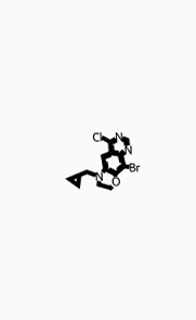 Clc1ncnc2c(Br)c3c(cc12)N(CC1CC1)CCO3